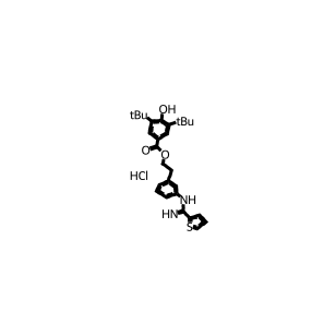 CC(C)(C)c1cc(C(=O)OCCc2cccc(NC(=N)c3cccs3)c2)cc(C(C)(C)C)c1O.Cl